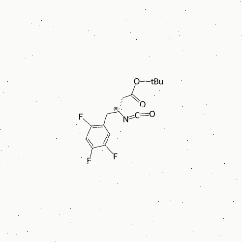 CC(C)(C)OC(=O)C[C@@H](Cc1cc(F)c(F)cc1F)N=C=O